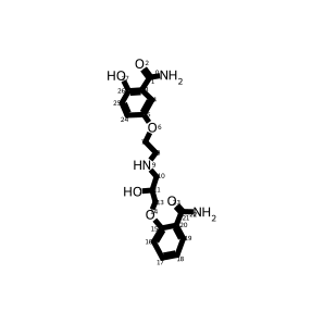 NC(=O)c1cc(OCCNCC(O)COc2ccccc2C(N)=O)ccc1O